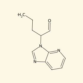 [CH2]CCC(C=O)n1cnc2cccnc21